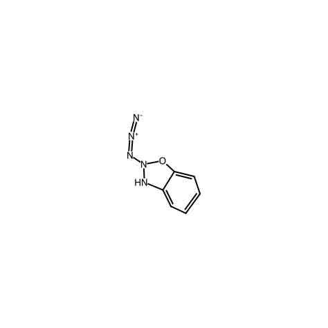 [N-]=[N+]=NN1Nc2ccccc2O1